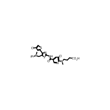 CC(C)N(C)Cc1sc(NC(=O)c2cnc(N(C)CCCC(=O)O)c(Cl)c2)nc1-c1cc(Cl)cs1